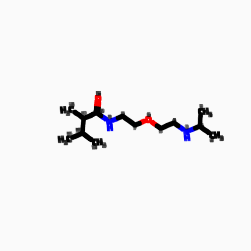 CC(C)NCCOCCNC(=O)C(C)C(C)C